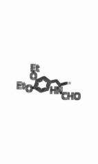 [CH2]C(Cc1ccc(OCC)c(OCC)c1)NC=O